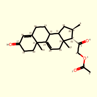 CC(=O)OCC(=O)[C@H]1[C@H](C)CC2C3CCC4=CC(=O)CCC4(C)C3=CCC21C